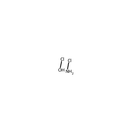 NCl.OCl